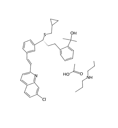 CC(=O)O.CC(C)(O)c1ccccc1CC[C@@H](SCC1CC1)c1cccc(/C=C/c2ccc3ccc(Cl)cc3n2)c1.CCCNCCC